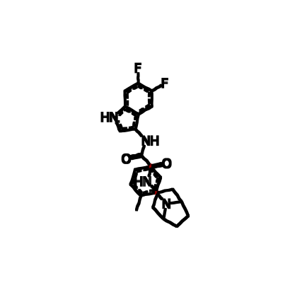 Cc1ccccc1N1C2CCC1CC(NC(=O)C(=O)Nc1c[nH]c3cc(F)c(F)cc13)C2